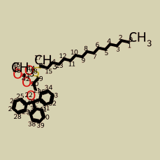 CCCCCCCCCCCCCCCCC(C)SCC(COC(c1ccccc1)(c1ccccc1)c1ccccc1)OC(=O)OC